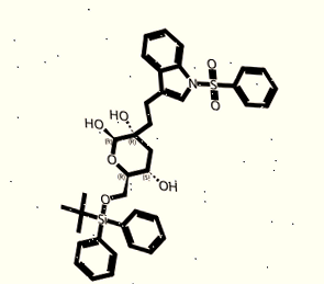 CC(C)(C)[Si](OC[C@H]1O[C@@H](O)[C@@](O)(CCc2cn(S(=O)(=O)c3ccccc3)c3ccccc23)C[C@@H]1O)(c1ccccc1)c1ccccc1